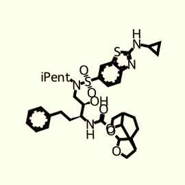 CCCC(C)N(C[C@@H](O)[C@H](CCc1ccccc1)NC(=O)OC1C2CCC3C(OC2)OCC31)S(=O)(=O)c1ccc2nc(NC3CC3)sc2c1